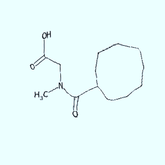 CN(CC(=O)O)C(=O)C1CCCCCCCC1